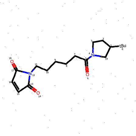 CC(C)(C)C1CCN(C(=O)CCCCCN2C(=O)C=CC2=O)C1